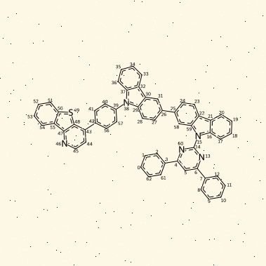 c1ccc(-c2cc(-c3ccccc3)nc(-n3c4ccccc4c4ccc(-c5ccc6c(c5)c5ccccc5n6-c5ccc(-c6ccnc7c6sc6ccccc67)cc5)cc43)n2)cc1